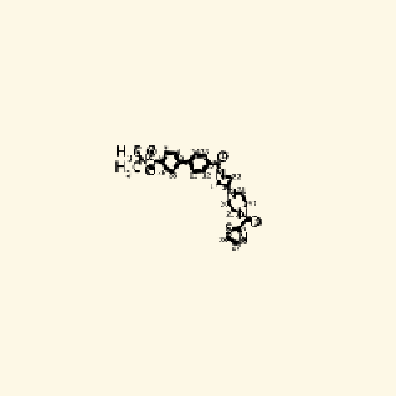 CN(C)S(=O)(=O)c1ccc(-c2ccc(C(=O)N3CC(N4CCN(C(=O)c5nccs5)CC4)C3)cc2)cc1